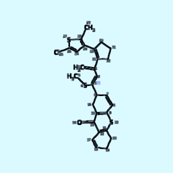 C=C(/C=C(\SC)C1C=Cc2sc3c(c(=O)c2C1)C=CCC3)C1=C(c2cc(Cl)sc2C)CCC1